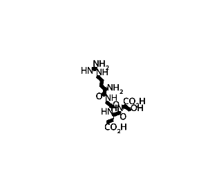 N=C(N)NCCC[C@H](N)C(=O)NCC(=O)N[C@@H](CCC(=O)O)C(=O)N[C@@H](CO)C(=O)O